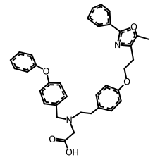 Cc1oc(-c2ccccc2)nc1CCOc1ccc(CCN(CC(=O)O)Cc2ccc(Oc3ccccc3)cc2)cc1